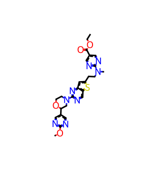 CCOC(=O)c1cnc(N(C)CCc2cc3nc(N4CCOC(c5cnc(OC)nc5)C4)ncc3s2)nc1